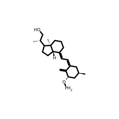 C=C1/C(=C\C=C2/CCC[C@]3(C)C([C@H](C)CO)CC[C@@H]23)C[C@@H](C)C[C@@H]1OP